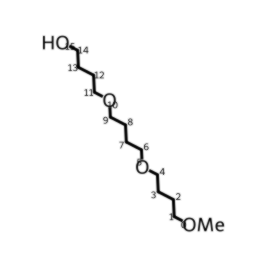 COCCCCOCCCCOCCCCO